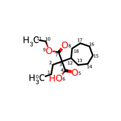 CCCC(C(=O)O)(C(=O)OCC)C1CCCCCC1